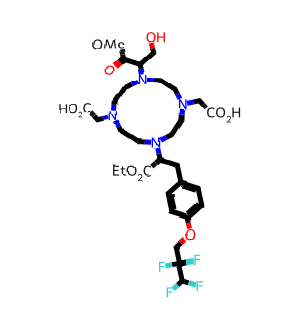 CCOC(=O)C(Cc1ccc(OCC(F)(F)C(F)F)cc1)N1CCN(CC(=O)O)CCN(C(CO)C(=O)OC)CCN(CC(=O)O)CC1